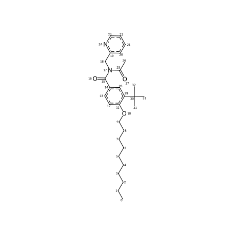 CCCCCCCCCCOc1ccc(C(=O)N(Cc2ccccn2)C(C)=O)cc1C(C)(C)C